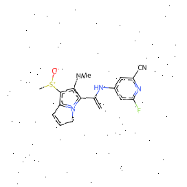 C=C(Nc1cc(F)nc(C#N)c1)c1c(NC)c([S+](C)[O-])c2n1CC=C2